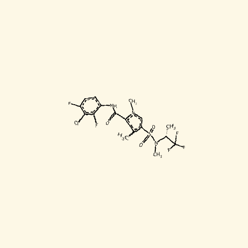 Cc1c(S(=O)(=O)N(C)[C@H](C)C(F)(F)F)cn(C)c1C(=O)Nc1ccc(F)c(Cl)c1F